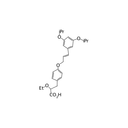 CCOC(Cc1ccc(OCC=Cc2cc(OC(C)C)cc(OC(C)C)c2)cc1)C(=O)O